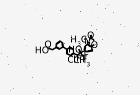 CC(c1ccc(-c2cccc(CC(=O)O)c2)cc1Cl)C(O)(c1ccc2c(c1)N(C)C(=O)CO2)C(F)(F)F